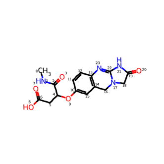 CNC(=O)C(CC(=O)O)Oc1ccc2c(c1)CN1CC(=O)NC1=N2